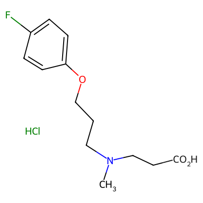 CN(CCCOc1ccc(F)cc1)CCC(=O)O.Cl